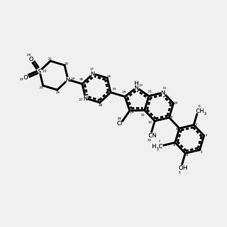 Cc1ccc(O)c(C)c1-c1cnc2[nH]c(-c3cnc(N4CCS(=O)(=O)CC4)nc3)c(Cl)c2c1C#N